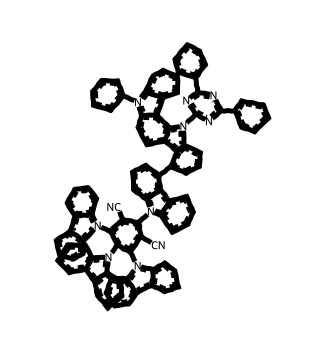 N#Cc1c(-n2c3ccccc3c3ccccc32)c(-n2c3ccccc3c3ccccc32)c(-n2c3ccccc3c3ccccc32)c(C#N)c1-n1c2ccccc2c2c(-c3cccc4c3c3ccc5c(c6ccccc6n5-c5ccccc5)c3n4-c3nc(-c4ccccc4)nc(-c4ccccc4)n3)cccc21